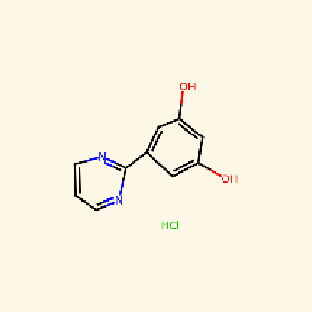 Cl.Oc1cc(O)cc(-c2ncccn2)c1